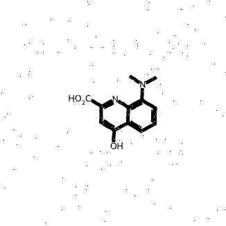 CN(C)c1cccc2c(O)cc(C(=O)O)nc12